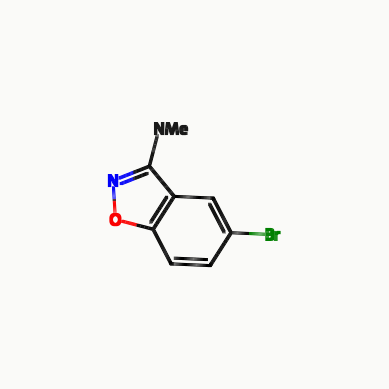 CNc1noc2ccc(Br)cc12